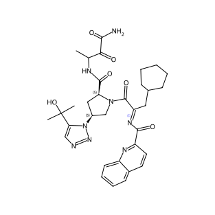 CC(NC(=O)[C@@H]1C[C@H](n2nncc2C(C)(C)O)CN1C(=O)/C(CC1CCCCC1)=N/C(=O)c1ccc2ccccc2n1)C(=O)C(N)=O